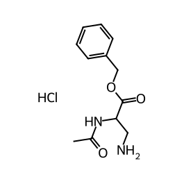 CC(=O)NC(CN)C(=O)OCc1ccccc1.Cl